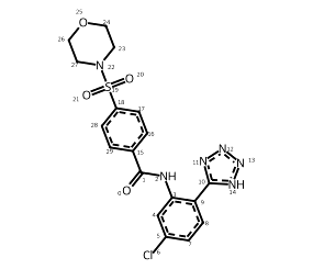 O=C(Nc1cc(Cl)ccc1-c1nnn[nH]1)c1ccc(S(=O)(=O)N2CCOCC2)cc1